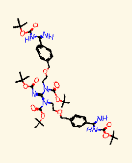 CC(C)(C)OC(=O)N=C(N(CCOCc1ccc(C(=N)NC(=O)OC(C)(C)C)cc1)C(=O)OC(C)(C)C)N(CCOCc1ccc(C(=N)NC(=O)OC(C)(C)C)cc1)C(=O)OC(C)(C)C